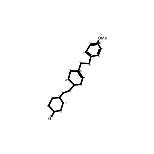 CCC1CCC(CCC2CC=C(CCc3ccc(OC)cc3)CC2)CC1